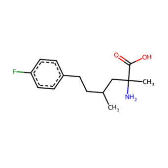 CC(CCc1ccc(F)cc1)CC(C)(N)C(=O)O